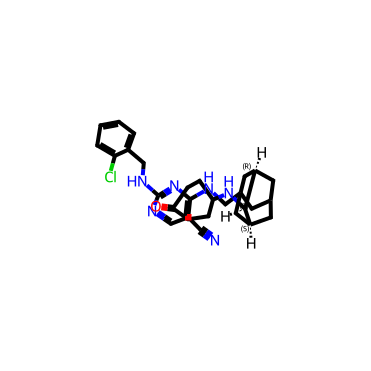 N#Cc1cnc(NCc2ccccc2Cl)nc1NCC12CC3C[C@H](C1)[C@H](NC1CCC(=O)CC1)[C@@H](C3)C2